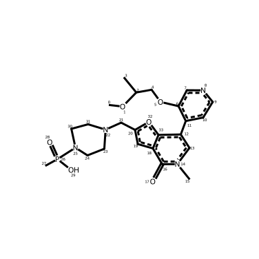 COC(C)COc1cnccc1-c1cn(C)c(=O)c2cc(CN3CCN(P(C)(=O)O)CC3)oc12